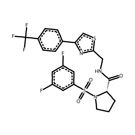 O=C(NCc1nc(-c2ccc(C(F)(F)F)cc2)cs1)[C@@H]1CCCN1S(=O)(=O)c1cc(F)cc(F)c1